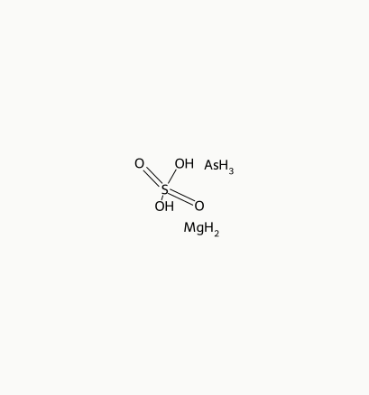 O=S(=O)(O)O.[AsH3].[MgH2]